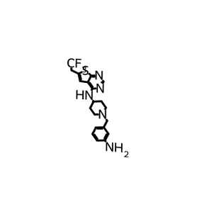 Nc1cccc(CN2CCC(Nc3ncnc4sc(CC(F)(F)F)cc34)CC2)c1